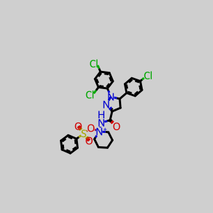 O=C(N[N+]1(OS(=O)(=O)c2ccccc2)CCCCC1)C1=NN(c2ccc(Cl)cc2Cl)C(c2ccc(Cl)cc2)C1